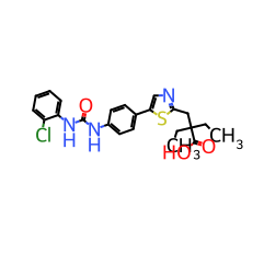 CCC(CC)(Cc1ncc(-c2ccc(NC(=O)Nc3ccccc3Cl)cc2)s1)C(=O)O